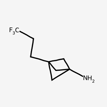 NC12CC(CCC(F)(F)F)(C1)C2